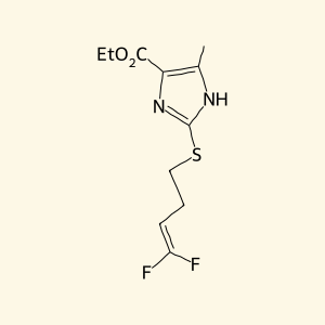 CCOC(=O)c1nc(SCCC=C(F)F)[nH]c1C